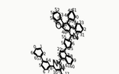 c1ccc(-c2cccc(-c3cc(-c4ccccc4)nc(-c4ccc(-c5ccc(-c6nc7ccccc7c7c(-c8ccccc8)c8c(cc67)oc6ccccc68)cc5)c5ccccc45)n3)c2)cc1